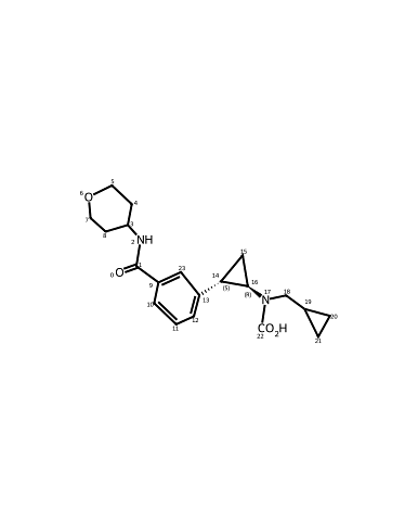 O=C(NC1CCOCC1)c1cccc([C@@H]2C[C@H]2N(CC2CC2)C(=O)O)c1